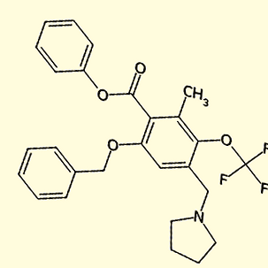 Cc1c(OC(F)(F)F)c(CN2CCCC2)cc(OCc2ccccc2)c1C(=O)Oc1ccccc1